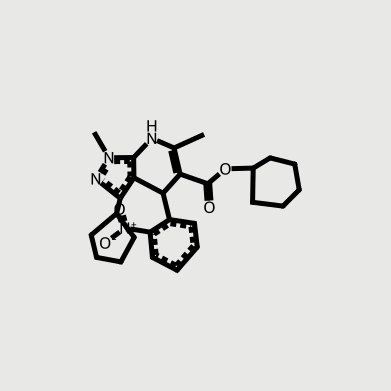 CC1=C(C(=O)OC2CCCCC2)C(c2ccccc2[N+](=O)[O-])c2c(C3CCCC3)nn(C)c2N1